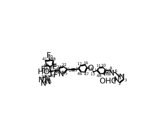 O=Cn1ccnc1CNCc1ccc(COc2ccc(C#Cc3ccc(C(F)(F)C(O)(Cn4cnnn4)c4ccc(F)cc4F)nc3)cc2)cc1